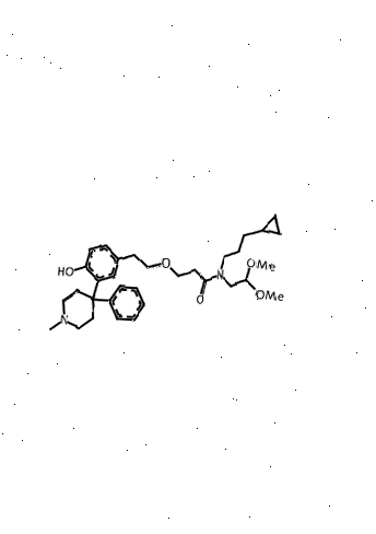 COC(CN(CCCC1CC1)C(=O)CCOCCc1ccc(O)c(C2(c3ccccc3)CCN(C)CC2)c1)OC